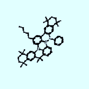 CCCCCc1cc2c3c(c1)N1c4cc5c(cc4C(C)(C)c4cccc(c41)B3N(c1ccccc1)c1cc3c(cc1-2)C(C)(C)CCC3(C)C)C(C)(C)CCC5(C)C